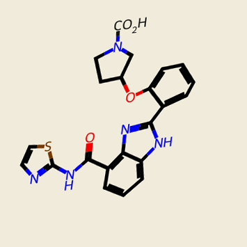 O=C(Nc1nccs1)c1cccc2[nH]c(-c3ccccc3OC3CCN(C(=O)O)C3)nc12